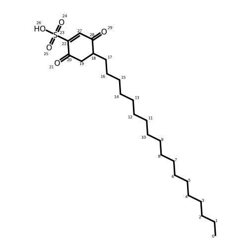 CCCCCCCCCCCCCCCCCCC1CC(=O)C(S(=O)(=O)O)=CC1=O